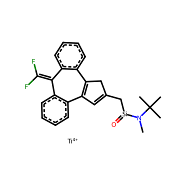 CN([Si](=O)CC1=CC2=C(C1)c1ccccc1C(=C(F)F)c1ccccc12)C(C)(C)C.[Ti+4]